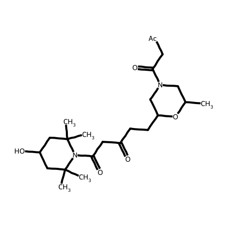 CC(=O)CC(=O)N1CC(C)OC(CCC(=O)CC(=O)N2C(C)(C)CC(O)CC2(C)C)C1